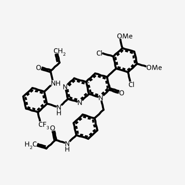 C=CC(=O)Nc1ccc(Cn2c(=O)c(-c3c(Cl)c(OC)cc(OC)c3Cl)cc3cnc(Nc4c(NC(=O)C=C)cccc4C(F)(F)F)nc32)cc1